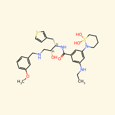 CCNc1cc(C(=O)N[C@@H](Cc2ccsc2)[C@H](O)CNCc2cccc(OC)c2)cc(N2CCCCS2(O)O)c1